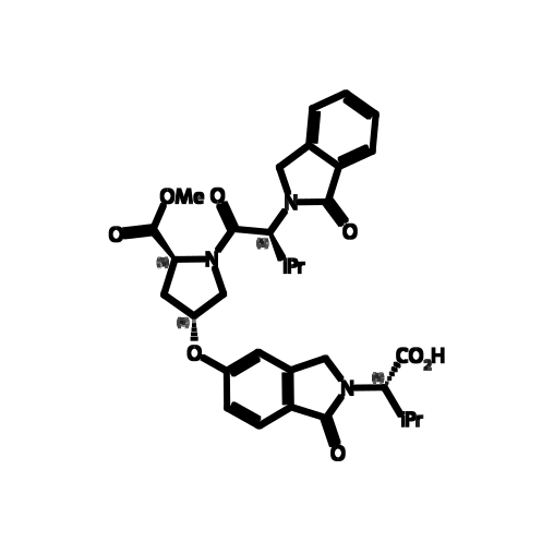 COC(=O)[C@@H]1C[C@@H](Oc2ccc3c(c2)CN([C@H](C(=O)O)C(C)C)C3=O)CN1C(=O)[C@H](C(C)C)N1Cc2ccccc2C1=O